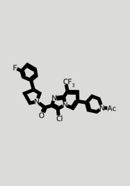 CC(=O)N1CC=C(c2cc(C(F)(F)F)c3nc(C(=O)N4CCC(c5cccc(F)c5)C4)c(Cl)n3c2)CC1